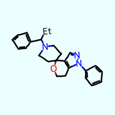 CCC(c1ccccc1)N1CCC2(CC1)OCCc1c2cnn1-c1ccccc1